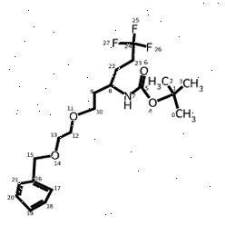 CC(C)(C)OC(=O)NC(CCOCCOCc1ccccc1)CCC(F)(F)F